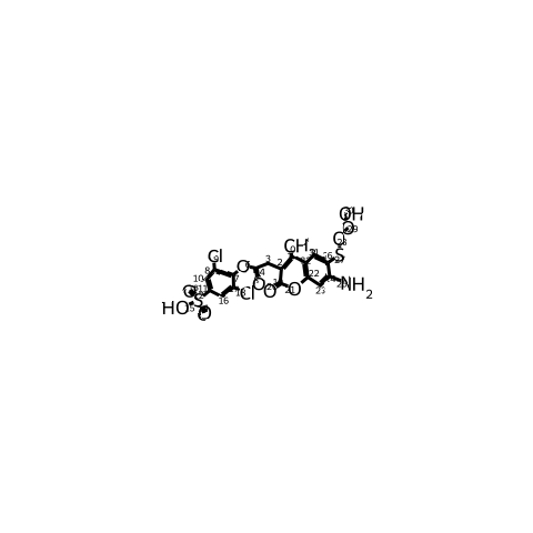 Cc1c(CC(=O)Oc2c(Cl)cc(S(=O)(=O)O)cc2Cl)c(=O)oc2cc(N)c(SOOO)cc12